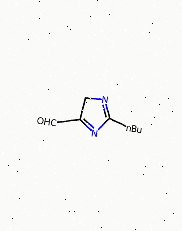 CCCCC1=NCC(C=O)=N1